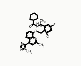 Cc1cc(-c2ncnn2C)c2cccc(OCc3c(Cl)cc(F)cc3[C@H](C)NC(=O)C3CCCCC3)c2n1